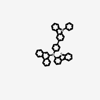 c1ccc(-n2c3ccccc3c3cc(-c4ccc(N(c5cc6ccccc6c6ccccc56)c5cccc6c5sc5ccccc56)cc4)ccc32)cc1